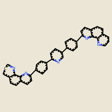 c1cnc2c(c1)ccc1ccc(-c3ccc(-c4ccc(-c5ccc(-c6ccc7ccc8cccnc8c7n6)cc5)nc4)cc3)nc12